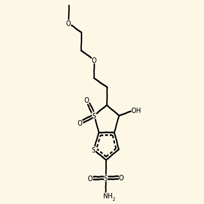 COCCOCCC1C(O)c2cc(S(N)(=O)=O)sc2S1(=O)=O